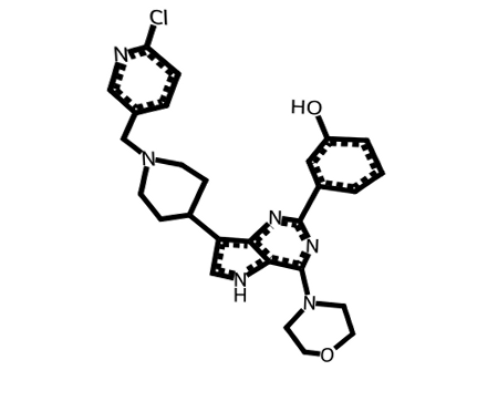 Oc1cccc(-c2nc(N3CCOCC3)c3[nH]cc(C4CCN(Cc5ccc(Cl)nc5)CC4)c3n2)c1